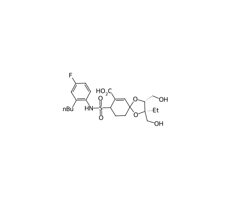 CCCCc1cc(F)ccc1NS(=O)(=O)C1CCC2(C=C1C(=O)O)O[C@H](CO)[C@@](CC)(CO)O2